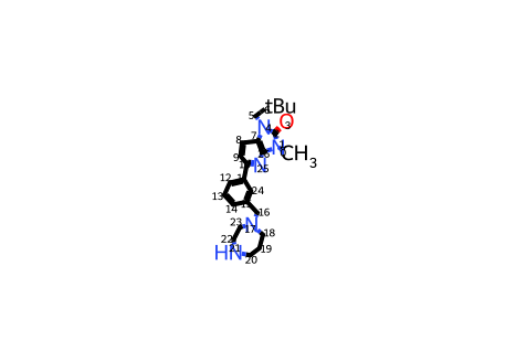 Cn1c(=O)n(CC(C)(C)C)c2ccc(-c3cccc(CN4CCCNCC4)c3)nc21